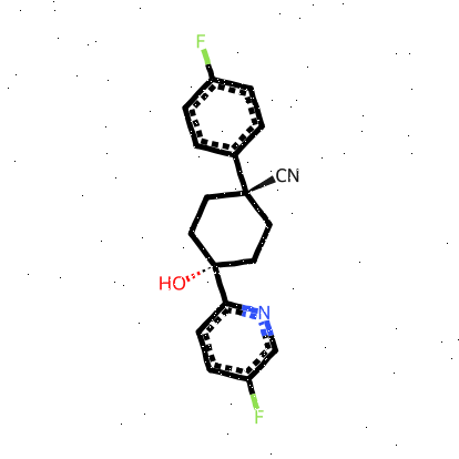 N#C[C@]1(c2ccc(F)cc2)CC[C@](O)(c2ccc(F)cn2)CC1